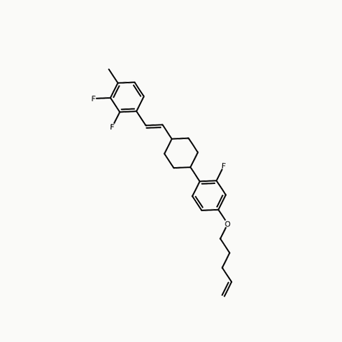 C=CCCCOc1ccc(C2CCC(/C=C/c3ccc(C)c(F)c3F)CC2)c(F)c1